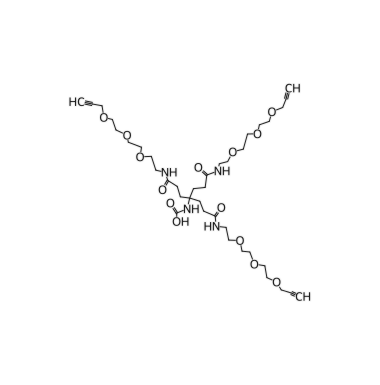 C#CCOCCOCCOCCNC(=O)CCC(CCC(=O)NCCOCCOCCOCC#C)(CCC(=O)NCCOCCOCCOCC#C)NC(=O)O